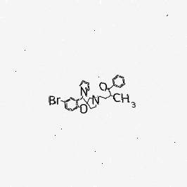 CC(CCN1CCC2(C1)Oc1ccc(Br)cc1C2n1cccc1)C(=O)c1ccccc1